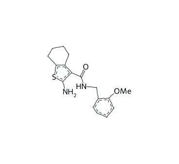 COc1ccccc1CNC(=O)c1c(N)sc2c1CCCC2